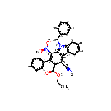 CCOC(=O)c1c(-c2ccccc2)c([N+](=O)[O-])c2c(c1C#N)c1ccccc1n2Cc1ccccc1